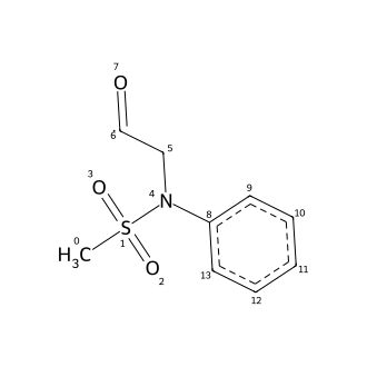 CS(=O)(=O)N(C[C]=O)c1ccccc1